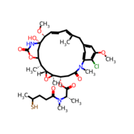 COc1cc2cc(c1Cl)N(C)C(=O)C[C@H](OC(=O)[C@H](C)N(C)C(=O)CCC(C)S)[C@@]1(C)O[C@@H]1[C@H](C)C1C[C@@](O)(NC(=O)O1)[C@H](OC)/C=C/C=C(\C)C2